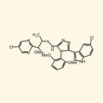 COc1cccc(OC)c1-n1c(NSC(C)C(OC)c2ncc(Cl)cn2)nnc1-c1n[nH]c2ccc(Cl)cc12